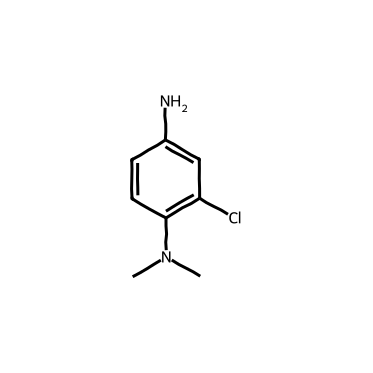 CN(C)c1ccc(N)cc1Cl